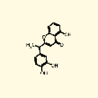 CC(c1ccc(O)c(O)c1)c1cc(=O)c2c(O)cccc2o1